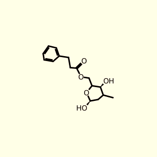 CC1C[C@@H](O)OC(COC(=O)CCc2ccccc2)[C@H]1O